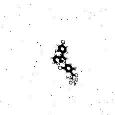 CS(=O)(=O)NC(=O)c1cc(Cl)c(-n2cc(-c3ccc(Cl)cc3F)c3cccnc32)cc1F